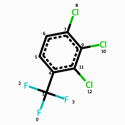 FC(F)(F)c1ccc(Cl)c(Cl)c1Cl